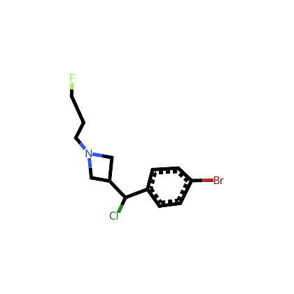 FCCCN1CC(C(Cl)c2ccc(Br)cc2)C1